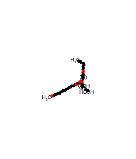 CCCC/C=C\CCCCCCCC(=O)OC[C@H](COP(=O)(O)OC[C@@H](O)CO)OC(=O)CCCCCCCCCCCCCCCCCCCCC